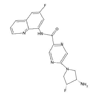 N[C@H]1CN(c2cnc(C(=O)Nc3cc(F)cc4cccnc34)cn2)C[C@H]1F